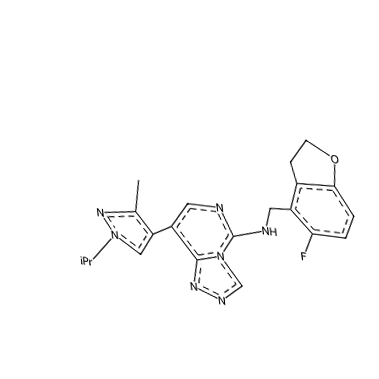 Cc1nn(C(C)C)cc1-c1cnc(NCc2c(F)ccc3c2CCO3)n2cnnc12